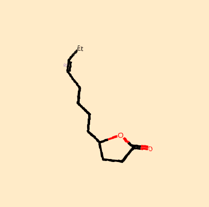 CC/C=C\CCCCC1CCC(=O)O1